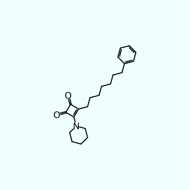 O=c1c(CCCCCCCc2ccccc2)c(N2CCCCC2)c1=O